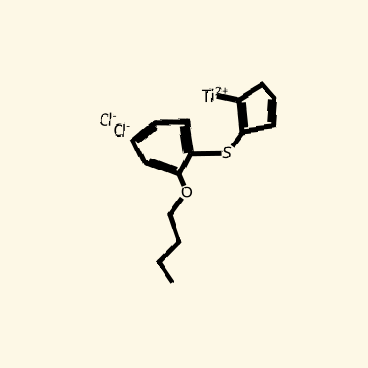 CCCCOc1ccccc1SC1=[C]([Ti+2])CC=C1.[Cl-].[Cl-]